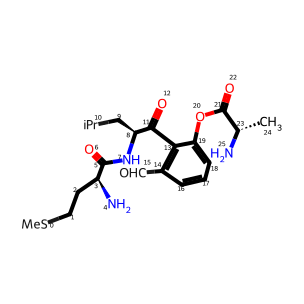 CSCC[C@H](N)C(=O)N[C@@H](CC(C)C)C(=O)c1c(C=O)cccc1OC(=O)[C@H](C)N